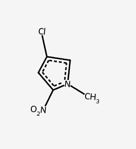 Cn1cc(Cl)cc1[N+](=O)[O-]